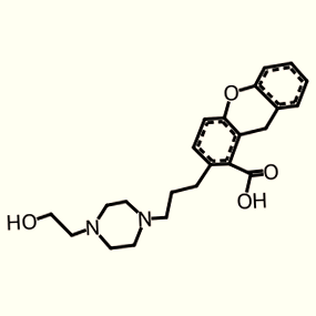 O=C(O)c1c(CCCN2CCN(CCO)CC2)ccc2c1Cc1ccccc1O2